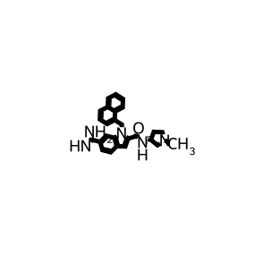 CN1CC[C@@H](NC(=O)c2cc3ccc(C(=N)N)cc3n2Cc2cccc3ccccc23)C1